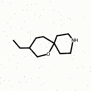 CCC1CCC2(CCNCC2)OC1